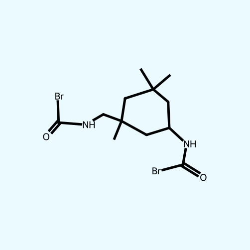 CC1(C)CC(NC(=O)Br)CC(C)(CNC(=O)Br)C1